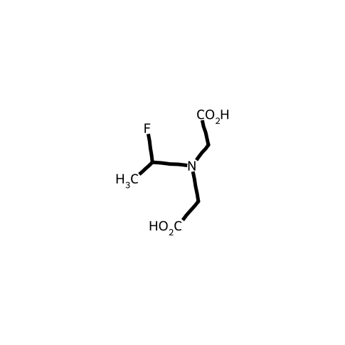 CC(F)N(CC(=O)O)CC(=O)O